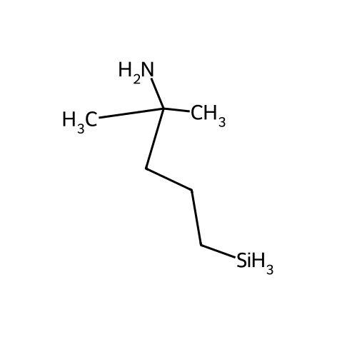 CC(C)(N)CCC[SiH3]